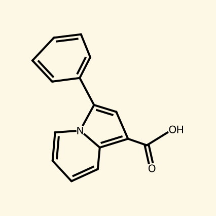 O=C(O)c1cc(-c2ccccc2)n2ccccc12